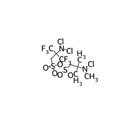 CN(Cl)C(C)(C)CS(=O)(=O)OS(=O)(=O)CC(N(Cl)Cl)(C(F)(F)F)C(F)(F)F